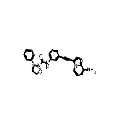 Nc1cccn2c(C#Cc3cccc(NC(=O)N4OCC[C@H]4c4ccccc4)c3)cnc12